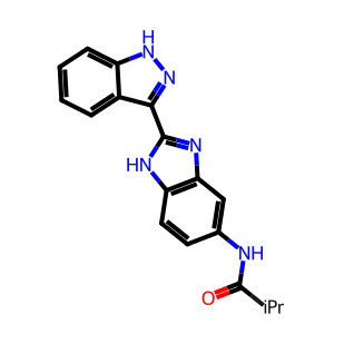 CC(C)C(=O)Nc1ccc2[nH]c(-c3n[nH]c4ccccc34)nc2c1